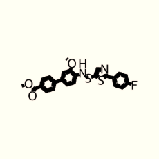 COC(=O)c1ccc(-c2ccc(NSc3cnc(-c4ccc(F)cc4)s3)c(OC)c2)cc1